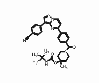 CC(C)(C)NC(=O)OC1(C)CCN(C(=O)c2ccc(-c3ccn4ncc(-c5ccc(C#N)cc5)c4n3)cc2)CC1